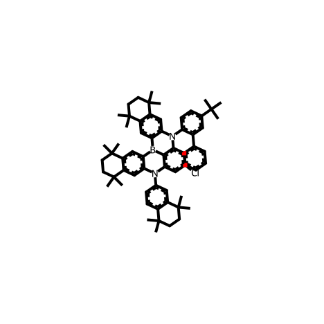 CC(C)(C)c1ccc(N2c3cc4c(cc3B3c5cc6c(cc5N(c5ccc7c(c5)C(C)(C)CCC7(C)C)c5cc(Cl)cc2c53)C(C)(C)CCC6(C)C)C(C)(C)CCC4(C)C)c(-c2ccccc2)c1